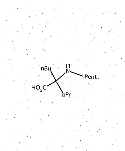 CCCCC(CCC)(NC(C)CCC)C(=O)O